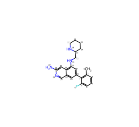 Cc1cccc(F)c1-c1cc(NC[C@@H]2CCCCN2)c2cc(N)ncc2c1